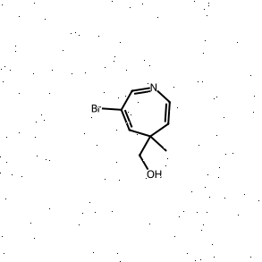 CC1(CO)C=CN=CC(Br)=C1